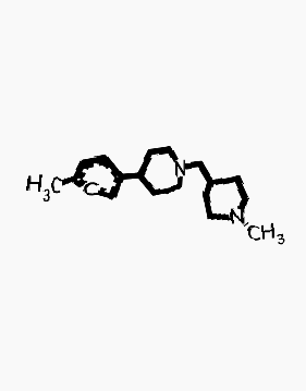 Cc1ccc(C2CCN(CC3CCN(C)CC3)CC2)cc1